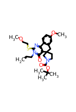 C=CCn1c(SCCOC)nc2c(c1=O)C1(CCN(C(=O)OC(C)(C)C)C1)Cc1cc(OC)ccc1-2